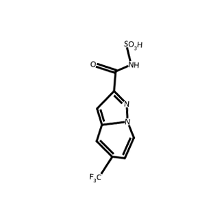 O=C(NS(=O)(=O)O)c1cc2cc(C(F)(F)F)ccn2n1